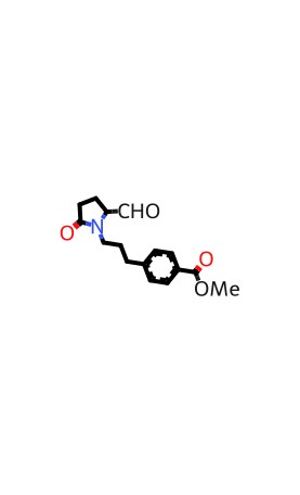 COC(=O)c1ccc(CCCN2C(=O)CCC2C=O)cc1